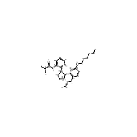 CCCCCCOc1ccc(CN(CC)[C@@H]2CCN(c3ncccc3OC(=O)C(C)C)C2)cc1